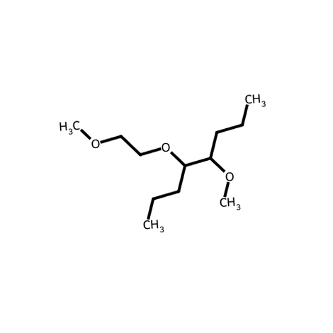 CCCC(OC)C(CCC)OCCOC